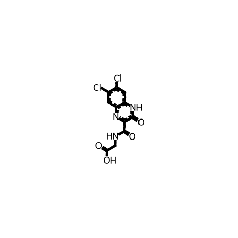 O=C(O)CNC(=O)c1nc2cc(Cl)c(Cl)cc2[nH]c1=O